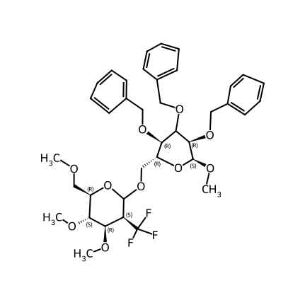 COC[C@H]1OC(OC[C@H]2O[C@H](OC)[C@H](OCc3ccccc3)C(OCc3ccccc3)[C@@H]2OCc2ccccc2)[C@@H](C(F)(F)F)[C@@H](OC)[C@@H]1OC